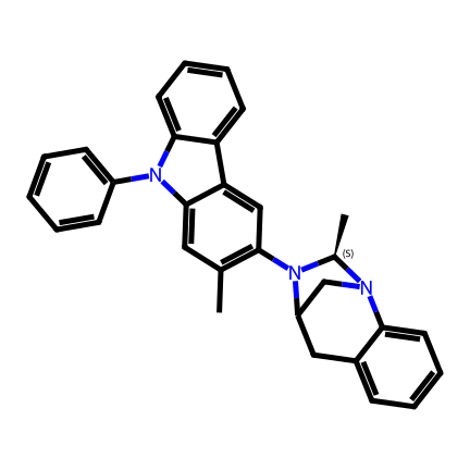 Cc1cc2c(cc1N1C3Cc4ccccc4N(C3)[C@@H]1C)c1ccccc1n2-c1ccccc1